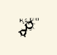 CN1C=C(c2ccccc2)C=CCC1C=O